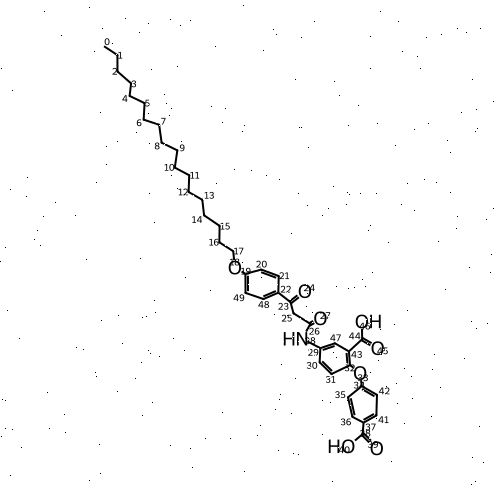 CCCCCCCCCCCCCCCCCCOc1ccc(C(=O)CC(=O)Nc2ccc(Oc3ccc(C(=O)O)cc3)c(C(=O)O)c2)cc1